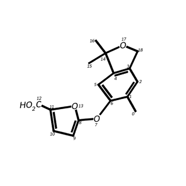 Cc1cc2c(cc1Oc1ccc(C(=O)O)o1)C(C)(C)OC2